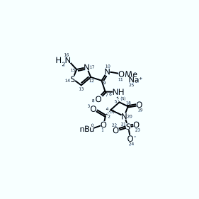 CCCCOC(=O)[C@@H]1[C@H](NC(=O)C(=NOC)c2csc(N)n2)C(=O)N1S(=O)(=O)[O-].[Na+]